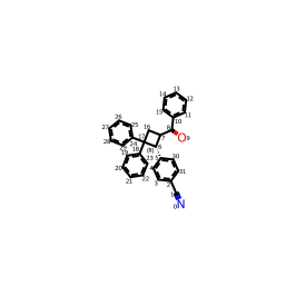 N#Cc1ccc([C@H]2C(C(=O)c3ccccc3)CC2(c2ccccc2)c2ccccc2)cc1